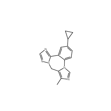 Cc1ncn2c1Cn1ncnc1-c1cc(C3CC3)ccc1-2